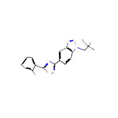 CC(C)(O)Cn1nnc2cc(-c3noc(-c4ccccc4Cl)n3)ccc21